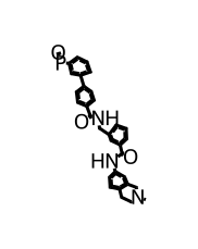 CN1CCc2ccc(NC(=O)c3cccc(CNC(=O)c4ccc(-c5cccc(P=O)c5)cc4)c3)cc2C1